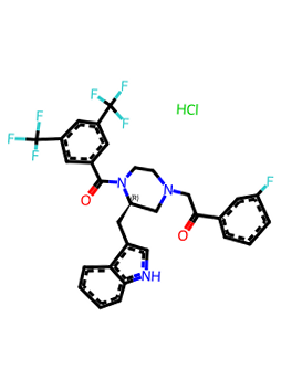 Cl.O=C(CN1CCN(C(=O)c2cc(C(F)(F)F)cc(C(F)(F)F)c2)[C@H](Cc2c[nH]c3ccccc23)C1)c1cccc(F)c1